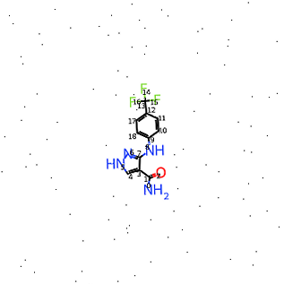 NC(=O)c1c[nH]nc1Nc1ccc(C(F)(F)F)cc1